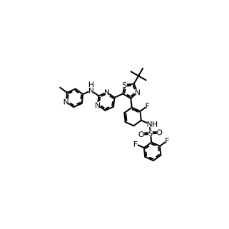 Cc1cc(Nc2nccc(-c3sc(C(C)(C)C)nc3C3=C(F)C(NS(=O)(=O)c4c(F)cccc4F)CC=C3)n2)ccn1